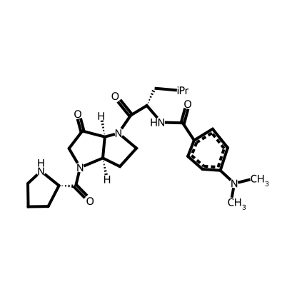 CC(C)C[C@H](NC(=O)c1ccc(N(C)C)cc1)C(=O)N1CC[C@@H]2[C@H]1C(=O)CN2C(=O)[C@@H]1CCCN1